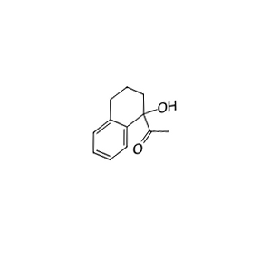 CC(=O)C1(O)CCCc2ccccc21